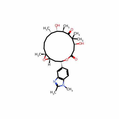 Cc1nc2cc([C@@H]3C[C@@H]4O[C@]4(C)CCC[C@H](C)[C@H](O)[C@@H](C)C(=O)C(C)(C)[C@@H](O)CC(=O)O3)ccc2n1C